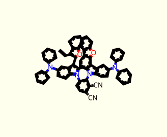 C=Cc1c(-c2c(C)n(-c3ccc(C#N)c(C#N)c3-n3c4ccc(N(c5ccccc5)c5ccccc5)cc4c4c5oc6ccccc6c5ccc43)c3ccc(N(c4ccccc4)c4ccccc4)cc23)oc2ccccc12